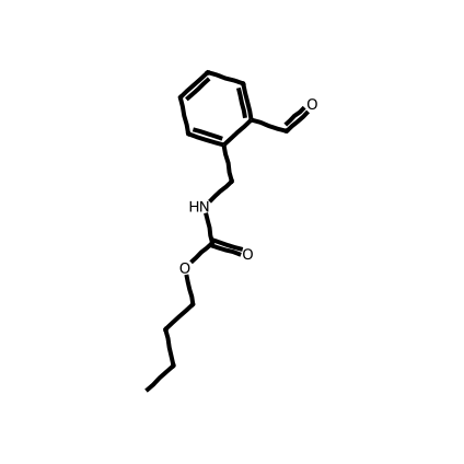 CCCCOC(=O)NCc1ccccc1C=O